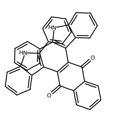 O=C1C(c2c(-c3ccccc3)[nH]c3ccccc23)=C(c2c(-c3ccccc3)[nH]c3ccccc23)C(=O)c2ccccc21